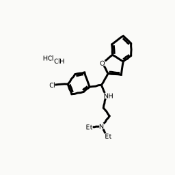 CCN(CC)CCNC(c1ccc(Cl)cc1)c1cc2ccccc2o1.Cl.Cl